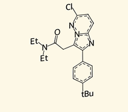 CCN(CC)C(=O)Cc1c(-c2ccc(C(C)(C)C)cc2)nc2ccc(Cl)nn12